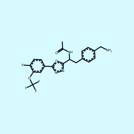 CC(=O)NC(Cc1ccc(CN)cc1)c1nnc(-c2ccc(F)c(OC(F)(F)F)c2)o1